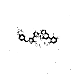 COc1ccc(Cn2cc(-c3cnc([C@@H]4CCC5CC(c6c(N)ccc(Cl)c6F)=CC(=O)N54)[nH]3)c(OC)n2)cc1